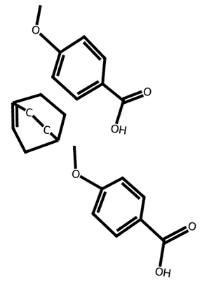 C1=C2CCC(C1)CC2.COc1ccc(C(=O)O)cc1.COc1ccc(C(=O)O)cc1